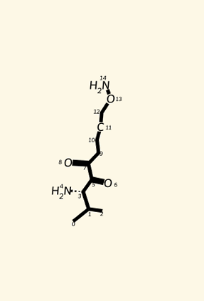 CC(C)[C@H](N)C(=O)C(=O)CCCCON